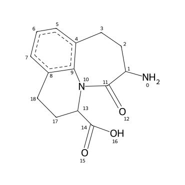 NC1CCc2cccc3c2N(C1=O)C(C(=O)O)CC3